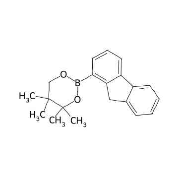 CC1(C)COB(c2cccc3c2Cc2ccccc2-3)OC1(C)C